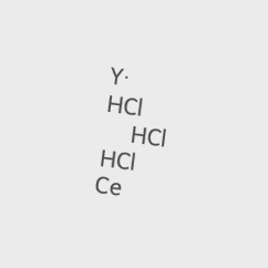 Cl.Cl.Cl.[Ce].[Y]